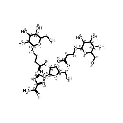 C=C(CCO[C@@H]1OC(CO)[C@H](O)C(O)C1O)O[C@@H]1[C@H](OC(=O)CCO[C@@H]2OC(CO)[C@H](O)C(O)C2O)[C@@H](CO)O[C@H]1n1cnc(C(N)=O)n1